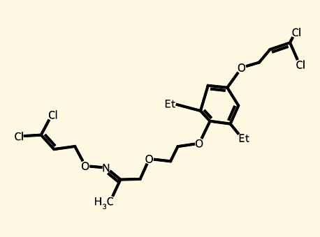 CCc1cc(OCC=C(Cl)Cl)cc(CC)c1OCCOCC(C)=NOCC=C(Cl)Cl